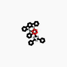 c1ccc(-c2nc(-c3ccccc3)nc(-c3ccc(-n4c5ccccc5c5ccc6c7ccccc7n(-n7c8ccccc8c8ccccc87)c6c54)cc3)n2)cc1